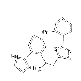 CC(C)c1ccccc1-c1ncc(CC(C)c2ccccc2-c2ncc[nH]2)s1